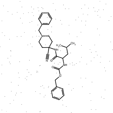 CC(C)CC(NC(=O)OCc1ccccc1)C(=O)NC1(C#N)CCN(Cc2ccccc2)CC1